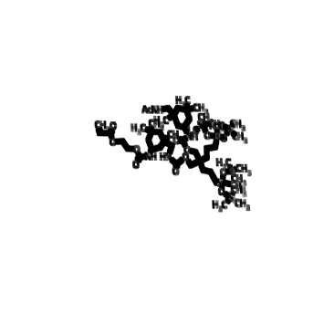 C=CC(=O)OCCOC(=O)NC1CC(C)(C)CC(C)(CNC(=O)OCC(CCC[Si](C)(O[Si](C)(C)C)O[Si](C)(C)C)(CCC[Si](C)(O[Si](C)(C)C)O[Si](C)(C)C)COC(=O)NC2CC(C)(C)CC(C)(CNC(C)=O)C2)C1